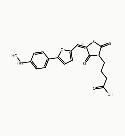 O=C(O)CCCN1C(=O)/C(=C\c2ccc(-c3ccc(NO)cc3)o2)SC1=S